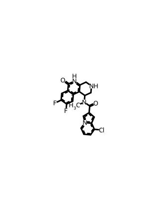 CN(C(=O)c1cc2c(Cl)cccn2c1)C1CNCc2[nH]c(=O)c3cc(F)c(F)cc3c21